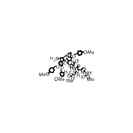 COc1ccc(COC(=O)C2=C(C[N+]3(Cc4cn(C)c5cc(OCc6ccc(OC)cc6)c(OCc6ccc(OC)cc6)cc5c4=O)CCCC3)[C@H](C)S[C@@H]3[C@H](NC(=O)C(=NOC(C)(C)C(=O)OC(C)(C)C)c4csc(NC(=O)OC(C)(C)C)n4)C(=O)N23)cc1